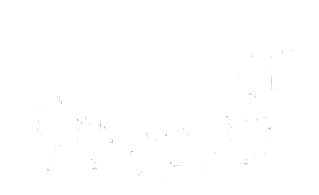 Cc1ncc(C)n2nc(-c3ccn4cc(-c5cccc(N6CC[C@H](F)C6)c5)nc4c3)nc12